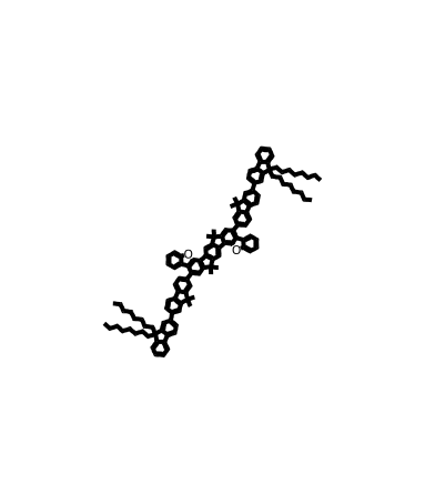 CCCCCCCCC1(CCCCCCCC)c2ccccc2-c2ccc(-c3ccc4c(c3)C(C)(C)c3cc(-c5cc6c(c7oc8ccccc8c57)-c5cc7c(cc5C6(C)C)-c5c(cc(-c6ccc8c(c6)C(C)(C)c6cc(-c9ccc%10c(c9)C(CCCCCCCC)(CCCCCCCC)c9ccccc9-%10)ccc6-8)c6c5oc5ccccc56)C7(C)C)ccc3-4)cc21